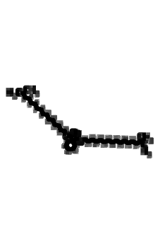 CC(C)CCCCCCCCCCCCCCOC(=O)C1(C(=O)OCCCCCCCCCCCCCCC(C)C)CCCCC1